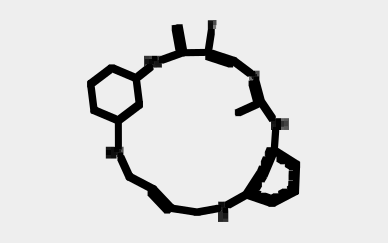 C=C1NC2CCCC(C2)NC/C=C/CNc2cccc(c2)N/C(C)=N/C=C\1F